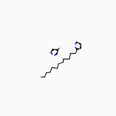 CCCCCCCCCCCCc1ccc[nH]1.Cc1cc[nH]c1